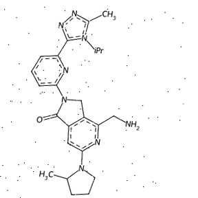 Cc1nnc(-c2cccc(N3Cc4c(cc(N5CCCC5C)nc4CN)C3=O)n2)n1C(C)C